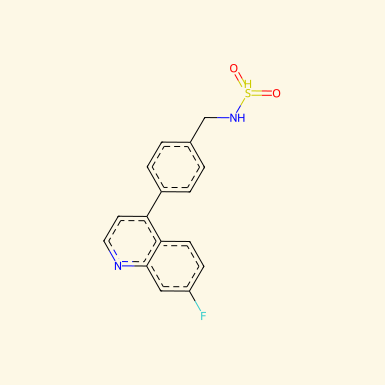 O=[SH](=O)NCc1ccc(-c2ccnc3cc(F)ccc23)cc1